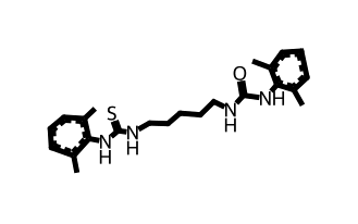 Cc1cccc(C)c1NC(=O)NCCCCCNC(=S)Nc1c(C)cccc1C